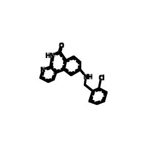 O=c1[nH]c2ncccc2c2cc(NCc3ccccc3Cl)ccc12